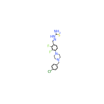 NC(=S)NN=Cc1ccc(N2CCN(Cc3ccc(Cl)cc3)CC2)c(F)c1F